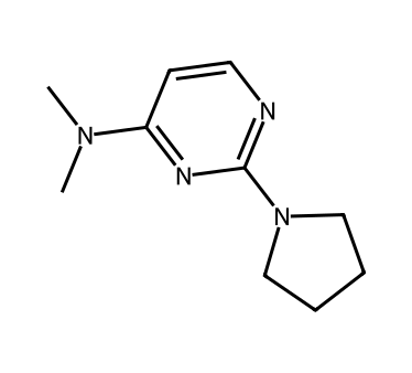 CN(C)c1ccnc(N2CCCC2)n1